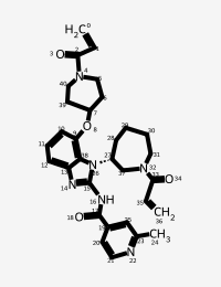 C=CC(=O)N1CCC(Oc2cccc3nc(NC(=O)c4ccnc(C)c4)n([C@@H]4CCCCN(C(=O)C=C)C4)c23)CC1